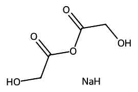 O=C(CO)OC(=O)CO.[NaH]